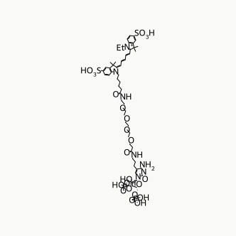 CC[N+]1=C(/C=C/C=C/C=C2/N(CCCCCC(=O)NCCOCCOCCOCCOCCC(=O)NCCCc3cn([C@@H]4O[C@H](COP(=O)(O)O)C(OP(=O)(O)O)[C@@H]4O)c(=O)nc3N)c3ccc(S(=O)(=O)O)cc3C2(C)C)C(C)(C)c2cc(S(=O)(=O)O)ccc21